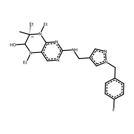 CCN1c2cnc(NCc3cnn(Cc4ccc(F)cc4)c3)nc2N(CC)[C@@](C)(CC)C1O